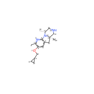 Cc1nc2c(cc1OCC1CC1)C[C@@H]1CNC[C@@H](C)N21